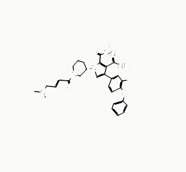 CN(C)CC=CC(=O)N1CCC[C@@H](n2cc(-c3ccc(Oc4ccccc4)c(F)c3)c3c(N)n[nH]c(=O)c32)C1